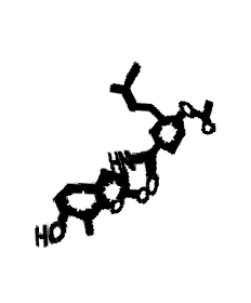 CC(=O)Oc1ccc(C(=O)Nc2cc3ccc(O)c(C)c3oc2=O)cc1CC=C(C)C